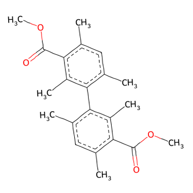 COC(=O)c1c(C)cc(C)c(-c2c(C)cc(C)c(C(=O)OC)c2C)c1C